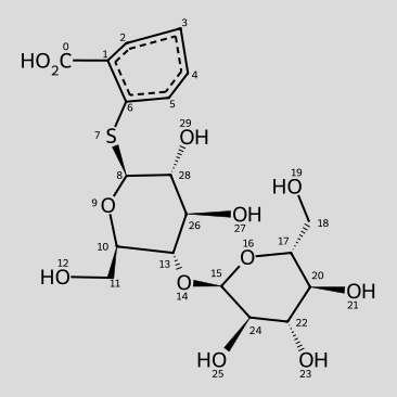 O=C(O)c1ccccc1S[C@@H]1O[C@H](CO)[C@@H](O[C@H]2O[C@H](CO)[C@@H](O)[C@H](O)[C@H]2O)[C@H](O)[C@H]1O